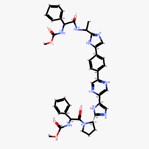 COC(=O)NC(C(=O)NC(C)c1ncc(-c2ccc(-c3cnc(-c4cnc([C@@H]5CCCN5C(=O)C(NC(=O)OC)c5ccccc5)[nH]4)cn3)cc2)[nH]1)c1ccccc1